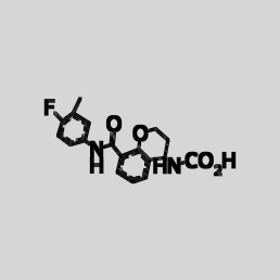 Cc1cc(NC(=O)c2cccc3c2OCC[C@@H]3NC(=O)O)ccc1F